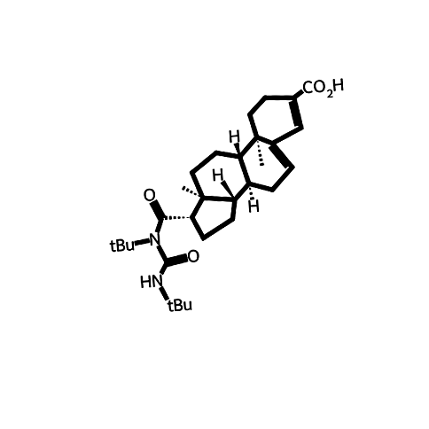 CC(C)(C)NC(=O)N(C(=O)[C@H]1CC[C@H]2[C@@H]3CC=C4C=C(C(=O)O)CC[C@]4(C)[C@H]3CC[C@]12C)C(C)(C)C